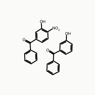 O=C(c1ccccc1)c1ccc([N+](=O)[O-])c(O)c1.O=C(c1ccccc1)c1cccc(O)c1